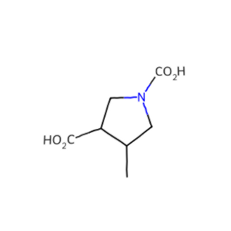 CC1CN(C(=O)O)CC1C(=O)O